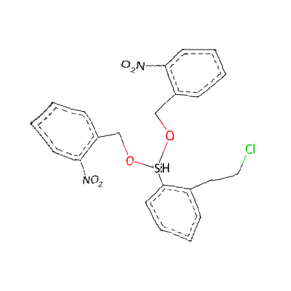 O=[N+]([O-])c1ccccc1CO[SiH](OCc1ccccc1[N+](=O)[O-])c1ccccc1CCCl